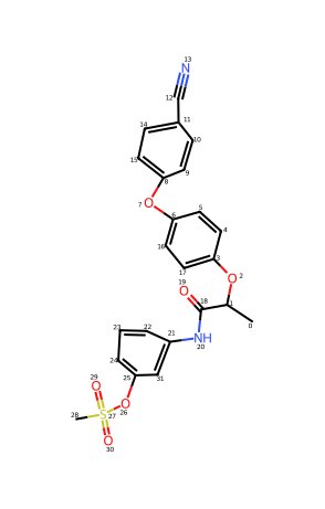 CC(Oc1ccc(Oc2ccc(C#N)cc2)cc1)C(=O)Nc1cccc(OS(C)(=O)=O)c1